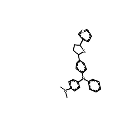 CN(C)c1ccc(N(c2ccccc2)c2ccc(C3CCC(c4ccccc4)S3)cc2)cc1